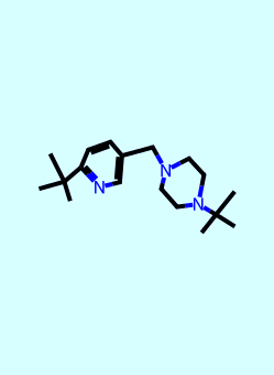 CC(C)(C)c1ccc(CN2CCN(C(C)(C)C)CC2)cn1